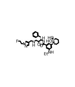 CCNc1cc(C(=O)N[C@@H](Cc2ccccc2)[C@H](O)CNCc2cnn(CCF)c2)cc(N2CCCCS2(O)O)c1